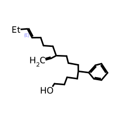 C=CC(CCC/C=C/CC)CCCC(CCCCO)c1ccccc1